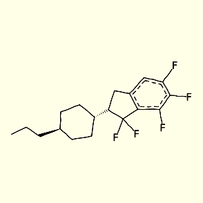 CCC[C@H]1CC[C@H](C2Cc3cc(F)c(F)c(F)c3C2(F)F)CC1